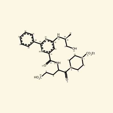 CCOC(=O)N1CCN(C(=O)C(CCC(=O)O)NC(=O)c2cc(N[C@@H](C)CO)nc(-c3ccccc3)n2)CC1